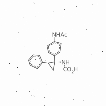 CC(=O)Nc1ccc([C@@]2(NC(=O)O)C[C@H]2c2ccccc2)cc1